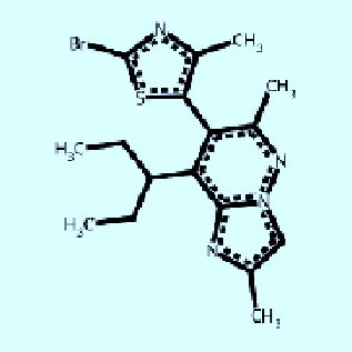 CCC(CC)c1c(-c2sc(Br)nc2C)c(C)nn2cc(C)nc12